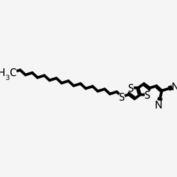 CCCCCCCCCCCCCCCCCCSc1cc2sc(C=C(C#N)C#N)cc2s1